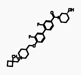 CC1(CN2CCC(COc3ccc(-c4ccc(C(=O)N5CCC[C@@H](O)C5)cc4F)cc3F)CC2)CCC1